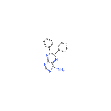 Nc1ncnc2nc(-c3ccccc3)c(-c3ccccc3)nc12